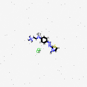 CCN(CC[N+](C)(C)C)c1ccc(/N=N/c2scc[n+]2C)cc1.[Cl-].[Cl-]